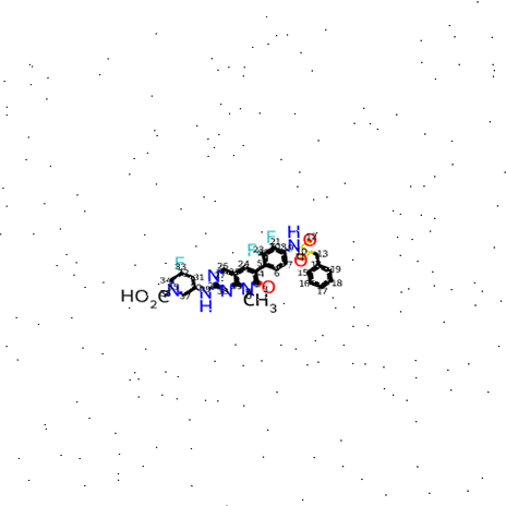 Cn1c(=O)c(-c2ccc(NS(=O)(=O)Cc3ccccc3)c(F)c2F)cc2cnc(N[C@H]3C[C@H](F)CN(C(=O)O)C3)nc21